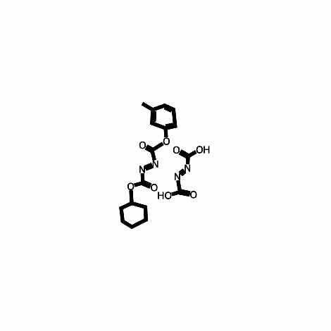 Cc1cccc(OC(=O)N=NC(=O)OC2CCCCC2)c1.O=C(O)N=NC(=O)O